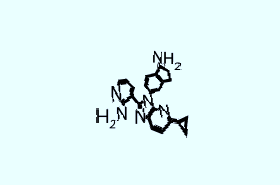 Nc1ncccc1-c1nc2ccc(C3CC3)nc2n1-c1ccc2c(c1)CC[C@@H]2N